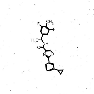 Cc1c(F)cc([C@@H](C)NC(=O)c2coc(-c3cccc(C4CC4)c3)n2)cc1F